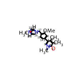 COc1cc(-c2cn(C)c(=O)c(C)c2C)ccc1CN1C[C@H]2C[C@@H]1CN2C